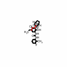 CCCCN[C@H]1C[C@H]2CC[C@@H](C1)N2S(=O)(=O)c1c(Cl)ccc(NC(=O)Nc2cccc(F)c2C)c1O